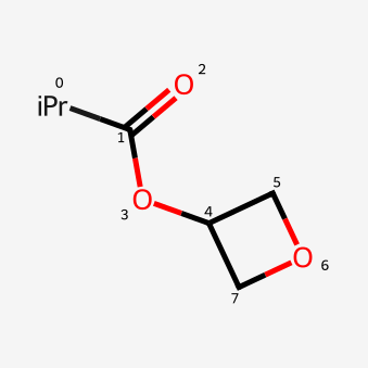 CC(C)C(=O)OC1COC1